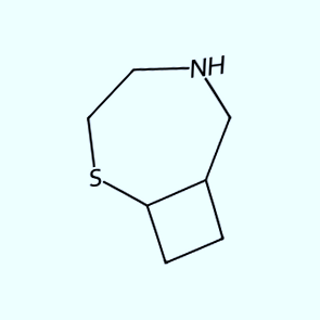 C1CSC2CCC2CN1